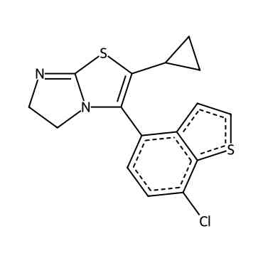 Clc1ccc(C2=C(C3CC3)SC3=NCCN32)c2ccsc12